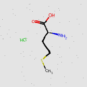 CSCC[C@H](N)C(=O)O.Cl